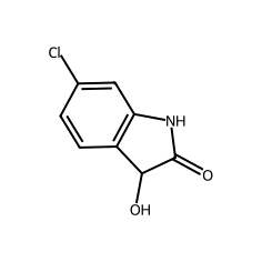 O=C1Nc2cc(Cl)ccc2C1O